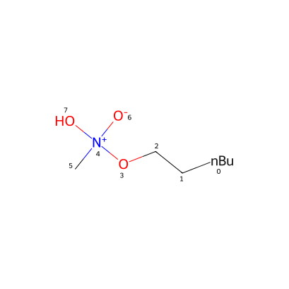 CCCCCCO[N+](C)([O-])O